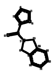 O=C(c1ccco1)N1Cc2ccccc2C1